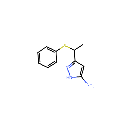 CC(Sc1ccccc1)c1cc(N)[nH]n1